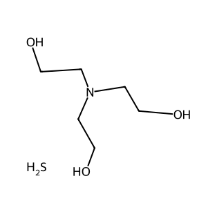 OCCN(CCO)CCO.S